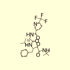 CC(C)C[C@H](NC(=O)c1ccc(C(F)(F)F)nc1)C(=O)NC(Cc1ccccc1)C(=O)C(=O)NC(C)(C)C